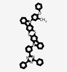 Cc1cc(-n2c3ccccc3c3cc4c(cc32)Sc2cc3c5ccccc5n(-c5cccc(-c6nc(-c7ccccc7)nc(-c7ccccc7)n6)c5)c3cc2S4)ccc1Oc1ccccc1